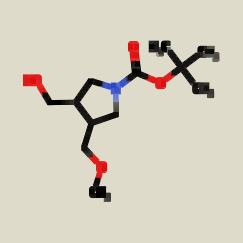 COCC1CN(C(=O)OC(C)(C)C)CC1CO